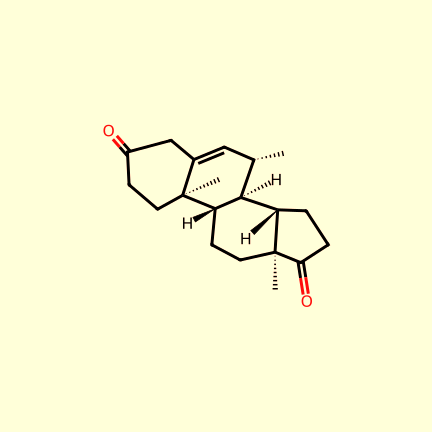 C[C@H]1C=C2CC(=O)CC[C@]2(C)[C@H]2CC[C@]3(C)C(=O)CC[C@H]3[C@H]12